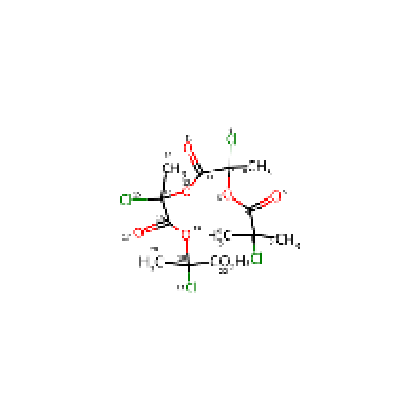 CC(C)(Cl)C(=O)OC(C)(Cl)C(=O)OC(C)(Cl)C(=O)OC(C)(Cl)C(=O)O